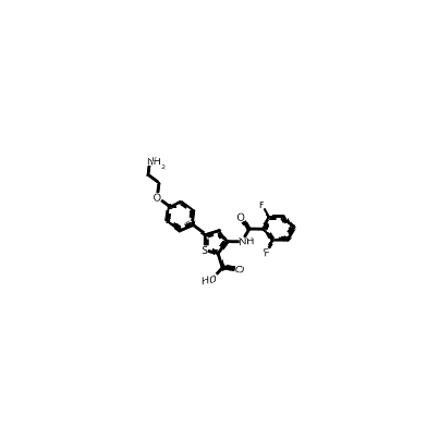 NCCOc1ccc(-c2cc(NC(=O)c3c(F)cccc3F)c(C(=O)O)s2)cc1